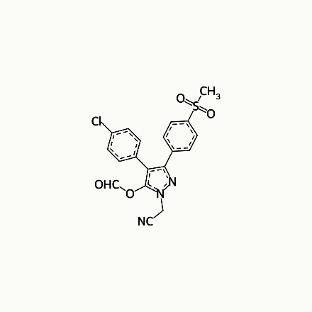 CS(=O)(=O)c1ccc(-c2nn(CC#N)c(OC=O)c2-c2ccc(Cl)cc2)cc1